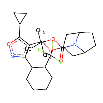 CC(C)(C)OC(=O)N1C2CCC1CC(OCc1c(C3CCCCC3C(F)(F)F)noc1C1CC1)C2